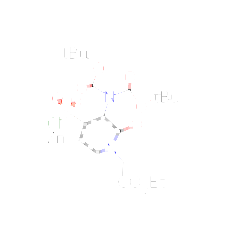 CCOC(=O)Cn1ccc(S(=O)(=O)Cl)c(N(C(=O)OC(C)(C)C)C(=O)OC(C)(C)C)c1=O.[Zn]